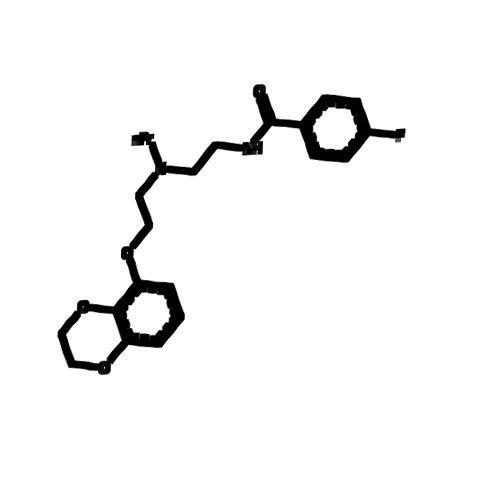 CCCN(CCNC(=O)c1ccc(F)cc1)CCOc1cccc2c1OCCO2